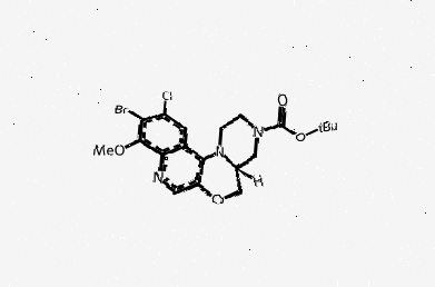 COc1c(Br)c(Cl)cc2c3c(cnc12)OC[C@H]1CN(C(=O)OC(C)(C)C)CCN31